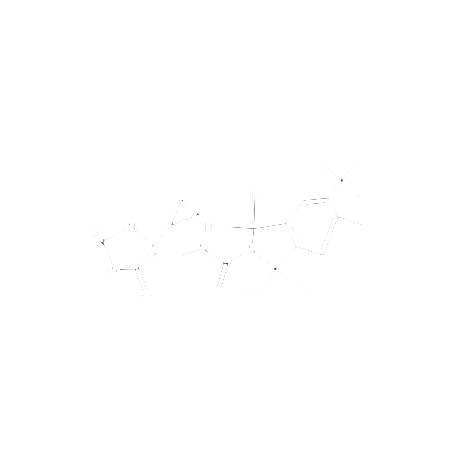 BC1(B)c2cc(Cl)c(C(F)(F)F)cc2C(B)(B)N1C(=O)NC[C@@]1(C2CC2)NC(=O)NC1=O